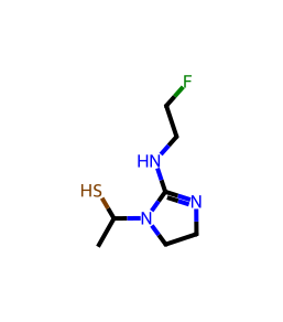 CC(S)N1CCN=C1NCCF